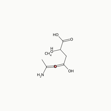 C.CC(N)=O.O=C(O)CC(O)C(=O)O